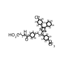 O=C(O)CCNC(=O)c1ccc(CCN(c2ccc(OC(F)(F)F)cc2)c2nc(-c3ccc(Cl)cc3)c(-c3ccccc3)s2)cc1